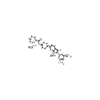 Cc1cc(-c2[nH]c3ccc(C4CCN(CC(=O)N5CCOC[C@H]5CO)CC4)cc3c2C(C)C)cc(C)n1